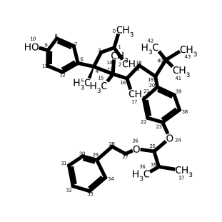 CC(C)C[C@@](C)(c1ccc(O)cc1)C(C)(C)C(C)CC(c1ccc(OC(OCCc2ccccc2)C(C)C)cc1)C(C)(C)C